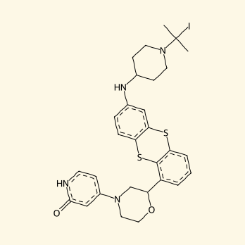 CC(C)(I)N1CCC(Nc2ccc3c(c2)Sc2cccc(C4CN(c5cc[nH]c(=O)c5)CCO4)c2S3)CC1